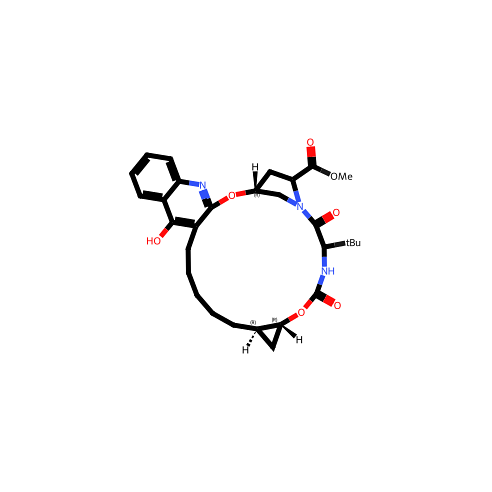 COC(=O)C1C[C@@H]2CN1C(=O)C(C(C)(C)C)NC(=O)O[C@@H]1C[C@H]1CCCCCc1c(nc3ccccc3c1O)O2